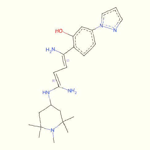 CN1C(C)(C)CC(N/C(N)=C/C=C(\N)c2ccc(-n3cccn3)cc2O)CC1(C)C